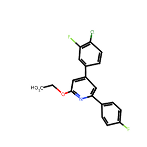 O=C(O)COc1cc(-c2ccc(Cl)c(F)c2)cc(-c2ccc(F)cc2)n1